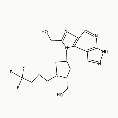 OCc1nc2cnc3[nH]ncc3c2n1C1C[C@H](CO)N(CCCC(F)(F)F)C1